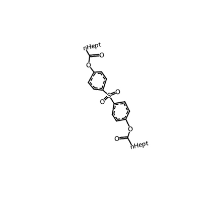 CCCCCCCC(=O)Oc1ccc(S(=O)(=O)c2ccc(OC(=O)CCCCCCC)cc2)cc1